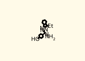 CCn1c2ccccc2c2nnc(C(=NN)c3ccc(O)cc3)nc21